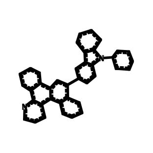 c1ccc(-n2c3ccccc3c3cc(-c4cc5c6ccccc6c6ncccc6c5c5ccccc45)ccc32)cc1